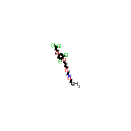 C=CCON=CCOCCCCOc1c(Cl)cc(OCC=C(Cl)Cl)cc1Cl